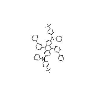 CC(C)(C)c1ccc(N(c2ccccc2)c2ccc3c(-c4cccc(-c5ccccc5)c4)c4cc(N(c5ccccc5)c5ccc(C(C)(C)C)cc5)ccc4c(-c4cccc(-c5ccccc5)c4)c3c2)cc1